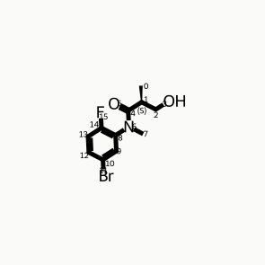 C[C@@H](CO)C(=O)N(C)c1cc(Br)ccc1F